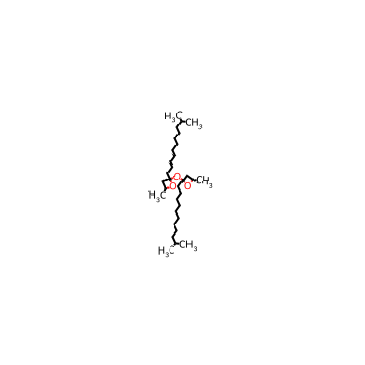 CC(C)CCCCCCCCCC1(OC2(CCCCCCCCCC(C)C)CC(C)O2)CC(C)O1